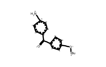 CC(C)(C)Oc1ccc(C(=O)c2ccc(N)cc2)cc1